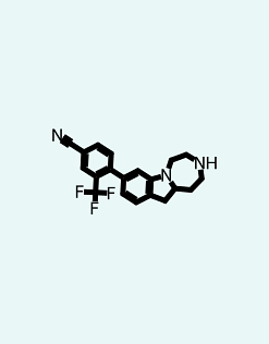 N#Cc1ccc(-c2ccc3c(c2)N2CCNCCC2C3)c(C(F)(F)F)c1